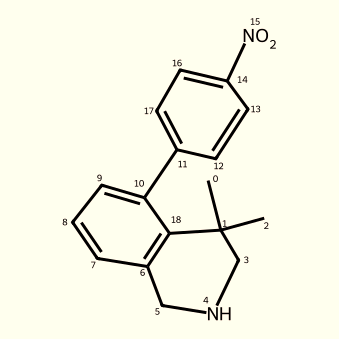 CC1(C)CNCc2cccc(-c3ccc([N+](=O)[O-])cc3)c21